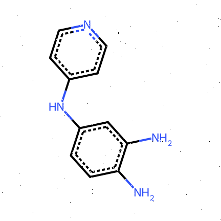 Nc1ccc(Nc2ccncc2)cc1N